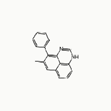 Cc1cc2cccc3c2c(c1-c1ccccc1)N=[C]N3